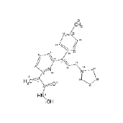 C=C(C(=O)NO)c1cccc(C(=CCN2CCCC2)c2ccc(C)cc2)n1